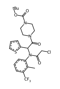 Cc1c(N(C(=O)CCl)C(C(=O)N2CCN(C(=O)OC(C)(C)C)CC2)c2cccs2)cccc1C(F)(F)F